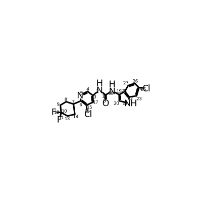 O=C(Nc1cnc(C2CCC(F)(F)CC2)c(Cl)c1)Nc1c[nH]c2cc(Cl)ccc12